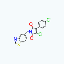 O=C1C(Cl)=C(c2ccc(Cl)cc2)C(=O)N1Cc1ccc2scnc2c1